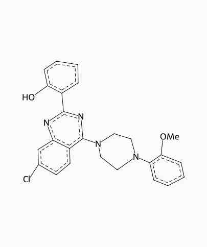 COc1ccccc1N1CCN(c2nc(-c3ccccc3O)nc3cc(Cl)ccc23)CC1